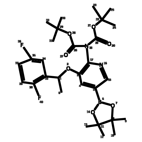 CC(Oc1cc(B2OC(C)(C)C(C)(C)O2)cnc1N(C(=O)OC(C)(C)C)C(=O)OC(C)(C)C)c1cc(F)ccc1F